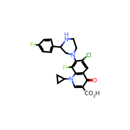 O=C(O)c1cn(C2CC2)c2c(F)c(N3CCNC(c4ccc(F)cc4)C3)c(Cl)cc2c1=O